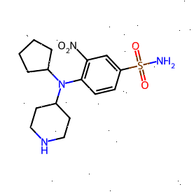 NS(=O)(=O)c1ccc(N(C2CCCC2)C2CCNCC2)c([N+](=O)[O-])c1